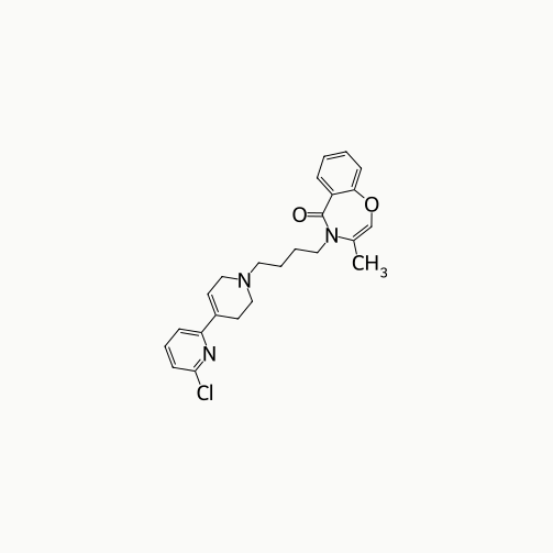 CC1=COc2ccccc2C(=O)N1CCCCN1CC=C(c2cccc(Cl)n2)CC1